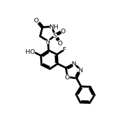 O=C1CN(c2c(O)ccc(-c3nnc(-c4ccccc4)o3)c2F)S(=O)(=O)N1